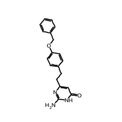 Nc1nc(CCc2ccc(OCc3ccccc3)cc2)cc(=O)[nH]1